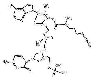 [N-]=[N+]=NCCC[C@H](N)C(=O)O[C@H]1[C@@H](O)[C@H](n2cnc3c(N)ncnc32)O[C@@H]1COP(=O)(O)O[C@H]1C[C@H](n2ccc(N)nc2=O)O[C@@H]1COP(=O)(O)O